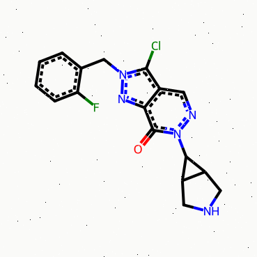 O=c1c2nn(Cc3ccccc3F)c(Cl)c2cnn1C1C2CNCC21